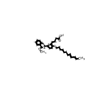 CCCCCCCCCCCCOc1ccc(CSc2ccccc2C(=O)OC)nc1C=CCC(=O)O